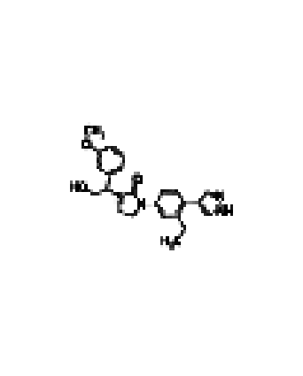 CCc1cc(N2CCN(C(CO)c3cccc(OC)c3)C2=O)ccc1-c1cn[nH]c1